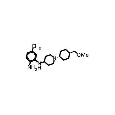 COC[C@H]1CC[C@H](N2CCC(Nc3cc(C)ccc3N)CC2)CC1